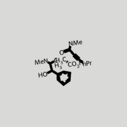 CC(=O)O.CCCC#CC(=O)NC.CNC(C)C(O)c1ccccc1